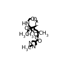 CCn1nc(CC(C)(C)COC(=O)c2cnc(C)nc2)c2c1C(=O)NCCCOCCC2